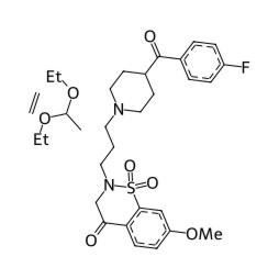 C=C.CCOC(C)OCC.COc1ccc2c(c1)S(=O)(=O)N(CCCN1CCC(C(=O)c3ccc(F)cc3)CC1)CC2=O